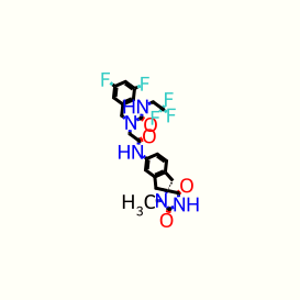 CN1C(=O)NC(=O)[C@@]12Cc1ccc(NC(=O)CN(Cc3cc(F)cc(F)c3)C(=O)NCC(F)(F)F)cc1C2